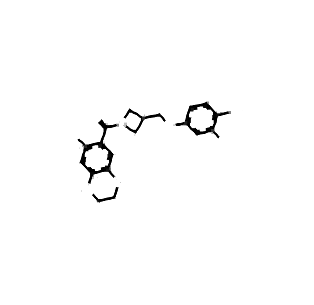 Cc1cc(OCC2CN(C(=O)c3cc4c(cc3F)OCCN4)C2)ccc1F